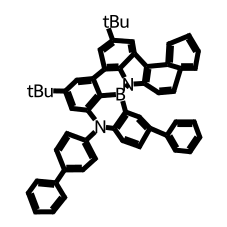 CC(C)(C)c1cc2c3c(c1)N(c1ccc(-c4ccccc4)cc1)c1ccc(-c4ccccc4)cc1B3n1c3ccc4ccccc4c3c3cc(C(C)(C)C)cc-2c31